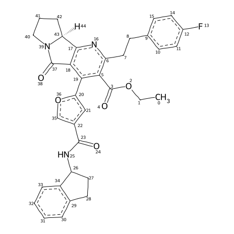 CCOC(=O)c1c(CCc2ccc(F)cc2)nc2c(c1-c1cc(C(=O)NC3CCc4ccccc43)co1)C(=O)N1CCC[C@@H]21